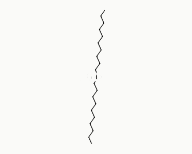 CCCCCCCCCCOCCCCCCCCCC.[Ga]